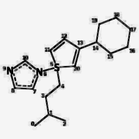 CC(C)CCS1(n2ccnc2)C=CC(C2CCCCC2)=C1